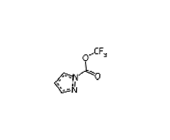 O=C(OC(F)(F)F)n1cccn1